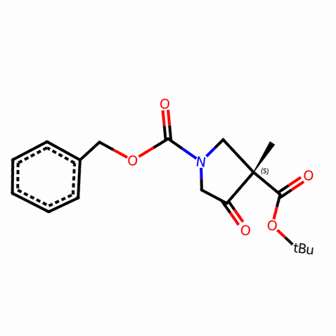 CC(C)(C)OC(=O)[C@@]1(C)CN(C(=O)OCc2ccccc2)CC1=O